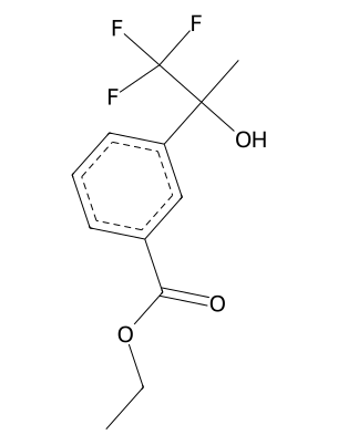 CCOC(=O)c1cccc(C(C)(O)C(F)(F)F)c1